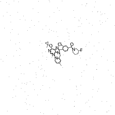 Cc1ccnc(Cn2c(-c3ccc(C(=O)N4CCC[C@H](F)C4)cc3Cl)nc3c(OC4(C)CC4)ncnc32)c1